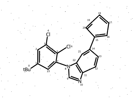 CC(C)(C)c1cc(Cl)c(Cl)c(-n2cnc3ccc(-c4ccccc4)cc32)c1